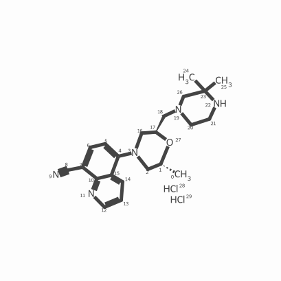 C[C@@H]1CN(c2ccc(C#N)c3ncccc23)C[C@@H](CN2CCNC(C)(C)C2)O1.Cl.Cl